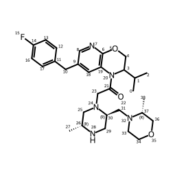 CC(C)C1COc2ncc(Cc3ccc(F)cc3)cc2N1C(=O)CN1C[C@@H](C)NC[C@@H]1CN1CCOC[C@H]1C